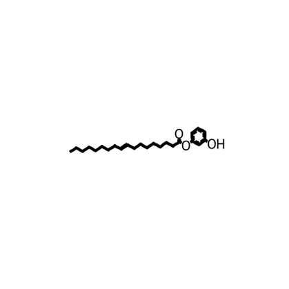 CCCCCCCCC=CCCCCCCCC(=O)Oc1cccc(O)c1